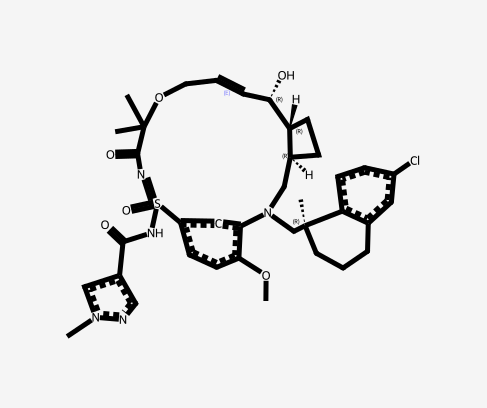 COc1ccc2cc1N(C[C@]1(C)CCCc3cc(Cl)ccc31)C[C@@H]1CC[C@H]1[C@@H](O)/C=C/COC(C)(C)C(=O)N=S2(=O)NC(=O)c1cnn(C)c1